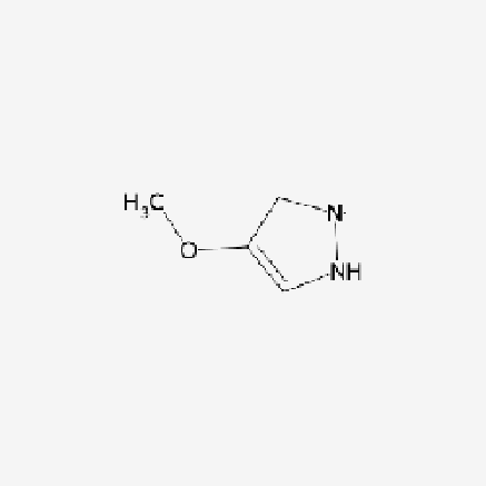 COC1=CN[N]C1